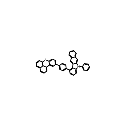 c1ccc(-n2c3cc4ccccc4cc3c3c(-c4ccc(-c5ccc6c(c5)-c5cccc7cccc(c57)S6)cc4)cccc32)cc1